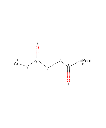 CCCCCC(=O)CCC(=O)CC(C)=O